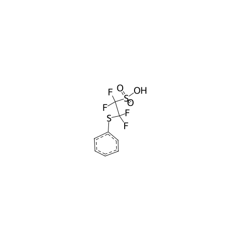 O=S(=O)(O)C(F)(F)C(F)(F)Sc1ccccc1